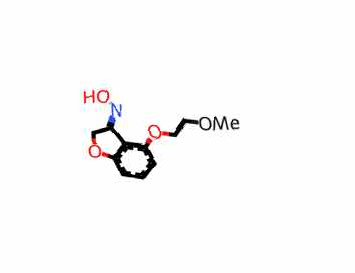 COCCOc1cccc2c1/C(=N/O)CO2